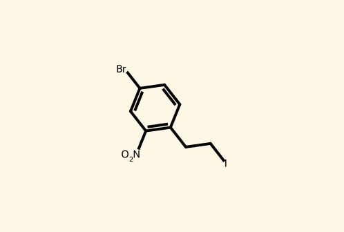 O=[N+]([O-])c1cc(Br)ccc1CCI